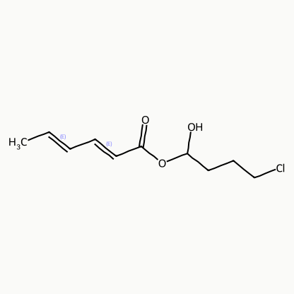 C/C=C/C=C/C(=O)OC(O)CCCCl